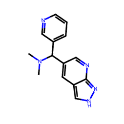 CN(C)C(c1cccnc1)c1cnc2n[nH]cc2c1